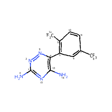 Nc1nnc(-c2cc(C(F)(F)F)ccc2C(F)(F)F)c(N)n1